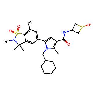 Cc1c(C(=O)NC2C[S+]([O-])C2)cc(-c2cc(C(C)C)c3c(c2)C(C)(C)N(C(C)C)S3(=O)=O)n1CC1CCCCC1